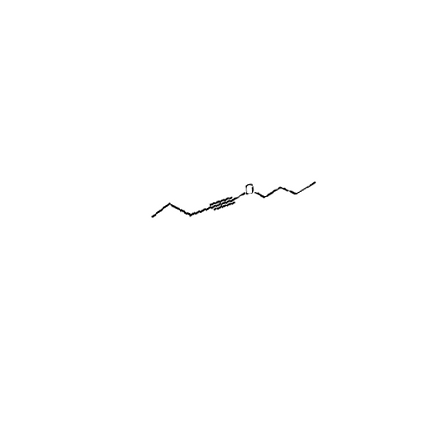 CCCC#COCCCC